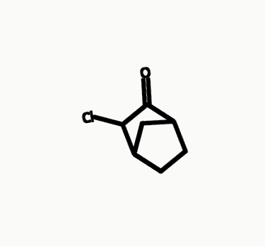 O=C1C2CCC(C2)C1Cl